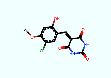 CCCOc1cc(O)c(C=C2C(=O)NC(=O)NC2=O)cc1Cl